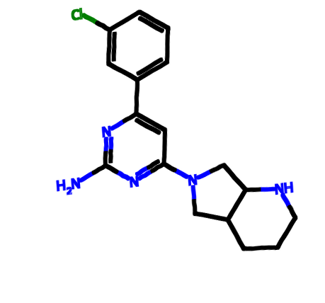 Nc1nc(-c2cccc(Cl)c2)cc(N2CC3CCCNC3C2)n1